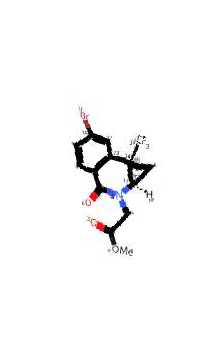 COC(=O)CN1C(=O)c2ccc(Br)cc2[C@]2(C(F)(F)F)C[C@@H]12